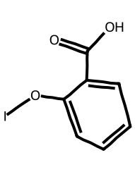 O=C(O)c1ccccc1OI